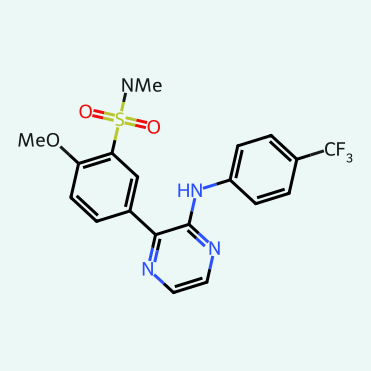 CNS(=O)(=O)c1cc(-c2nccnc2Nc2ccc(C(F)(F)F)cc2)ccc1OC